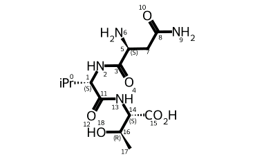 CC(C)[C@H](NC(=O)[C@@H](N)CC(N)=O)C(=O)N[C@H](C(=O)O)[C@@H](C)O